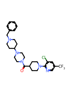 O=C(C1CCN(c2ncc(C(F)(F)F)cc2Cl)CC1)N1CCN(C2CCN(Cc3ccccc3)CC2)CC1